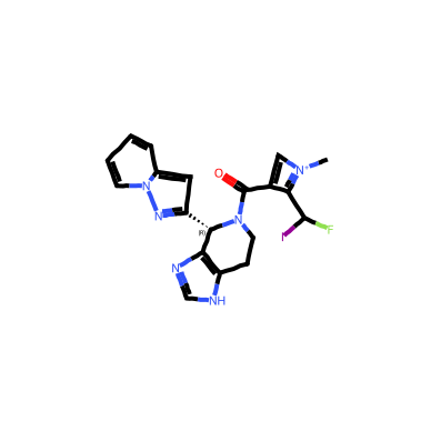 C[N+]1=C(C(F)I)C(C(=O)N2CCc3[nH]cnc3[C@@H]2c2cc3ccccn3n2)=C1